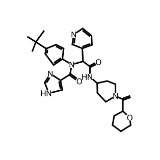 C=C(C1CCCCO1)N1CCC(NC(=O)C(c2cccnc2)N(C(=O)c2c[nH]cn2)c2ccc(C(C)(C)C)cc2)CC1